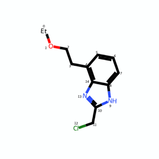 CCOCCc1cccc2[nH]c(CCl)nc12